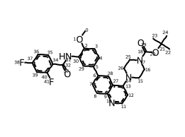 COc1ccc(-c2ccc3nccc(N4CCN(C(=O)OC(C)(C)C)CC4)c3c2)cc1NC(=O)c1ccc(F)cc1F